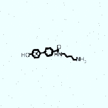 NCCCCNC(=O)c1ccc(C23CCC(O)(CC2)CC3)cc1